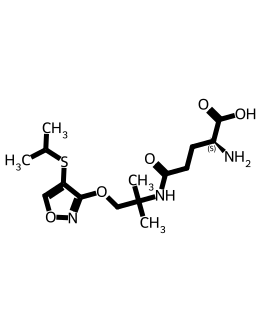 CC(C)Sc1conc1OCC(C)(C)NC(=O)CC[C@H](N)C(=O)O